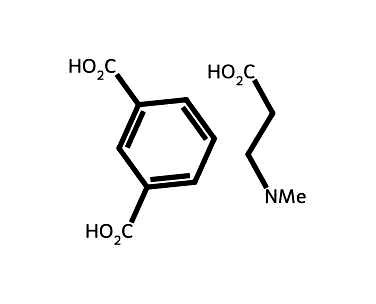 CNCCC(=O)O.O=C(O)c1cccc(C(=O)O)c1